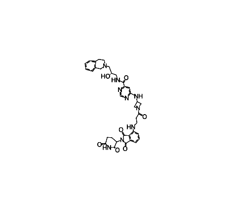 O=C1CCC(N2C(=O)c3cccc(NCCC(=O)N4CC(Nc5cc(C(=O)NC[C@H](O)CN6CCc7ccccc7C6)ncn5)C4)c3C2=O)C(=O)N1